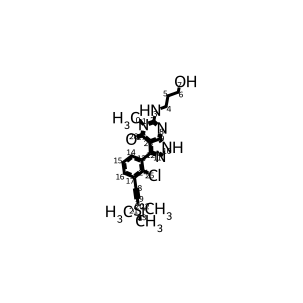 Cn1c(NCCCO)nc2[nH]nc(-c3cccc(C#C[Si](C)(C)C)c3Cl)c2c1=O